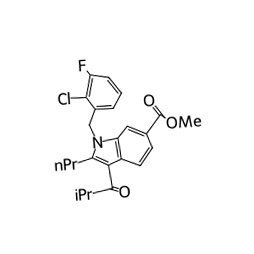 CCCc1c(C(=O)C(C)C)c2ccc(C(=O)OC)cc2n1Cc1cccc(F)c1Cl